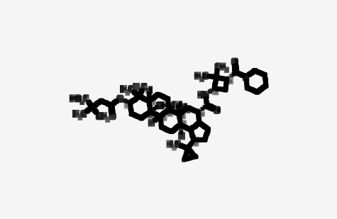 CC(C)(CC(=O)O[C@H]1CC[C@]2(C)[C@H]3CC[C@@H]4C5C(CC[C@H]5C5(C)CC5)[C@@H](C(=O)N[C@H]5C[C@@H](C(=O)N6CCCCC6)C5(C)C)C[C@@]4(C)[C@]3(C)CC[C@H]2C1(C)C)C(=O)O